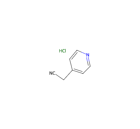 Cl.N#CCc1ccncc1